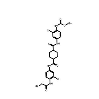 CC(C)(C)OC(=O)Nc1ccc(NC(=O)C2CCC(C(=O)Nc3ccc(NC(=O)OC(C)(C)C)c(Cl)c3)CC2)cc1Cl